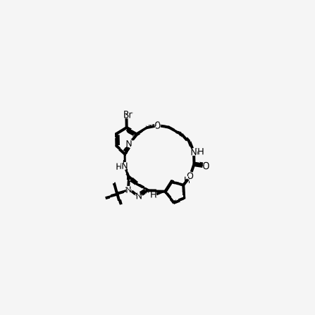 CC(C)(C)n1nc2cc1Nc1ccc(Br)c(n1)COCCCNC(=O)O[C@@H]1CC[C@H]2C1